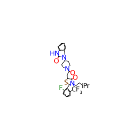 CC(C)CCN1C(=O)C(CC(=O)N2CCC(N3Cc4ccccc4NC3=O)CC2)SC1c1c(F)cccc1C(F)(F)F